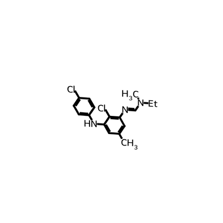 CCN(C)C=Nc1cc(C)cc(Nc2ccc(Cl)cc2)c1Cl